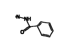 [N]NC(=O)c1ccccc1